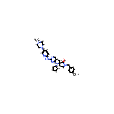 COc1ccc(CN2CCC3(Cc4cnc(Nc5ccc(N6CCN(C)CC6)cn5)nc4N3C3CCCC3)C2=O)cc1